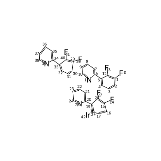 Fc1cccc(-c2ccccn2)c1F.Fc1cccc(-c2ccccn2)c1F.Fc1cccc(-c2ccccn2)c1F.[Ir+3]